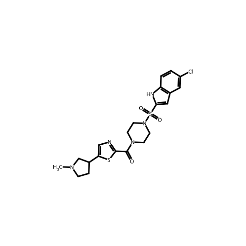 CN1CCC(c2cnc(C(=O)N3CCN(S(=O)(=O)c4cc5cc(Cl)ccc5[nH]4)CC3)s2)C1